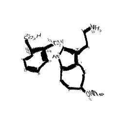 COc1ccc2[nH]cc(CCN)c2c1.O=C(O)c1ccccc1C(=O)O